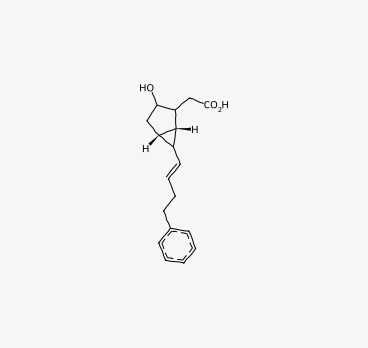 O=C(O)CC1C(O)C[C@H]2C(C=CCCc3ccccc3)[C@@H]12